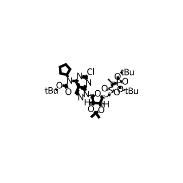 C[C@@H](P(=O)(OC(C)(C)C)OC(C)(C)C)S(=O)(=O)C[C@H]1O[C@@H](n2ncc3c(N(C(=O)OC(C)(C)C)C4CCCC4)nc(Cl)nc32)[C@@H]2OC(C)(C)O[C@@H]21